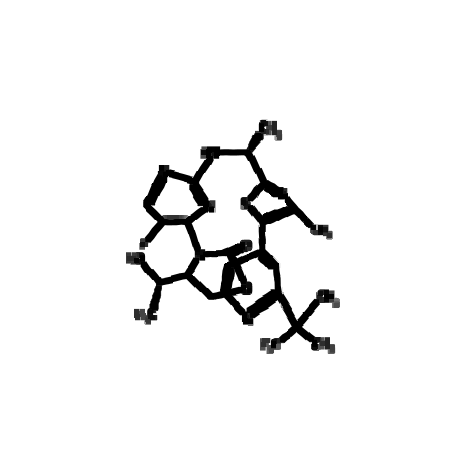 Cc1nc([C@H](C)Nc2ncc(F)c(N3C(=O)OCC3[C@@H](C)O)n2)sc1-c1ccnc(C(C)(C)C(F)(F)F)c1